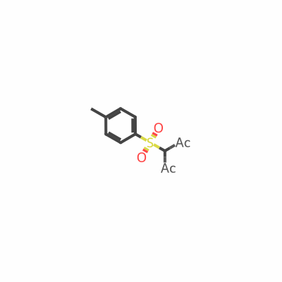 CC(=O)C(C(C)=O)S(=O)(=O)c1ccc(C)cc1